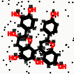 Oc1ccc([C@@H]2C[C@@H](c3c(O)cc(O)c4c3O[C@H](c3ccc(O)c(O)c3)[C@@H](O)C4)c3ccc(O)cc3O2)cc1